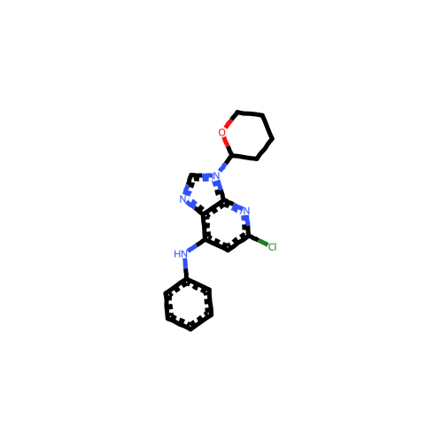 Clc1cc(Nc2ccccc2)c2ncn(C3CCCCO3)c2n1